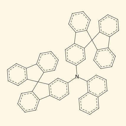 c1ccc2c(c1)-c1ccccc1C21c2ccccc2-c2ccc(N(c3ccc4c(c3)C3(c5ccccc5-c5ccccc53)c3ccccc3-4)c3cccc4ccccc34)cc21